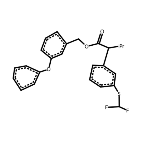 CC(C)C(C(=O)OCc1cccc(Oc2ccccc2)c1)c1cccc(SC(F)F)c1